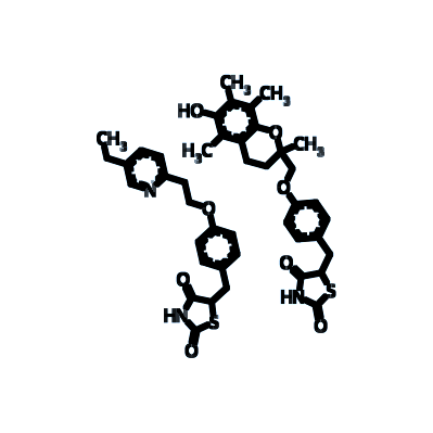 CCc1ccc(CCOc2ccc(CC3SC(=O)NC3=O)cc2)nc1.Cc1c(C)c2c(c(C)c1O)CCC(C)(COc1ccc(CC3SC(=O)NC3=O)cc1)O2